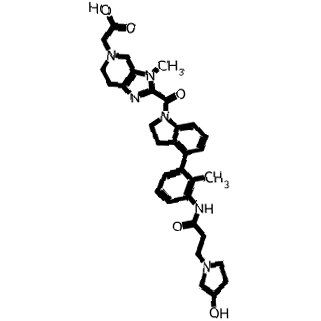 Cc1c(NC(=O)CCN2CCC(O)C2)cccc1-c1cccc2c1CCN2C(=O)c1nc2c(n1C)CN(CC(=O)O)CC2